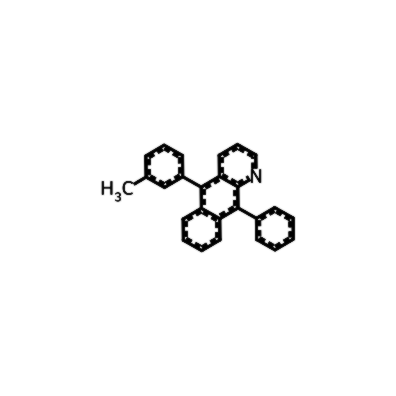 Cc1cccc(-c2c3ccccc3c(-c3ccccc3)c3ncccc23)c1